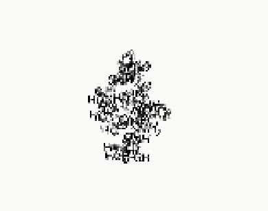 N[C@@H](CNC(=O)[C@H](Cc1ccccc1)NC(=O)[C@H](Cc1ccccc1)NC(=O)CNC(=O)CC[C@@H](NC(=O)[C@H](Cc1ccccc1)NC(=O)CC[C@H](NC(=O)N[C@@H](CCC(=O)O)C(=O)O)C(=O)O)C(=O)O)C(=O)N[C@@H](CC(=O)O)C(=O)N[C@@H](CS)C(=O)O